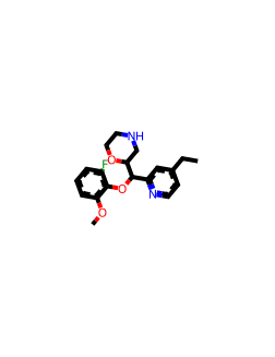 CCc1ccnc(C(Oc2c(F)cccc2OC)C2CNCCO2)c1